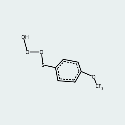 OOOSc1ccc(OC(F)(F)F)cc1